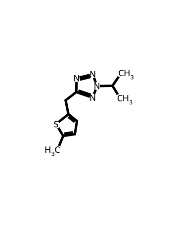 Cc1ccc(Cc2nnn(C(C)C)n2)s1